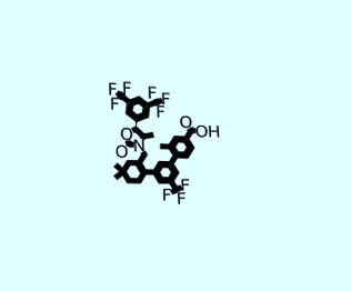 Cc1cc(C(=O)O)ccc1-c1cc(C2=C(CN3C(=O)O[C@H](c4cc(C(F)(F)F)cc(C(F)(F)F)c4)C3C)CC(C)(C)CC2)cc(C(F)(F)F)c1